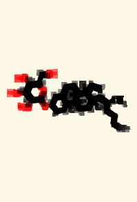 CC(C)CCC[C@@H](C)[C@H]1CC[C@H]2[C@@H]3CC=C4C[C@@H](OC5O[C@H](CO)[C@@H](O)[C@H](O)[C@H]5O)CC[C@]4(C)[C@H]3CC[C@]12C